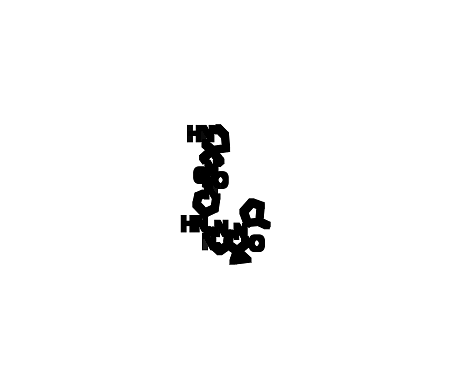 CC1CCCC1N1C(=O)C2(CC2)c2cnc(NC3CCN(S(=O)(=O)N4CC5(CCCNC5)C4)CC3)nc21